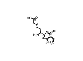 Nc1nc(C(N)CCCCC(=O)O)nc(O)c1N=O